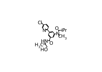 CC(C)C(=O)N(C)c1cc(C(=O)N[C@@H](C)CO)cc(-c2ccc(Cl)cn2)c1